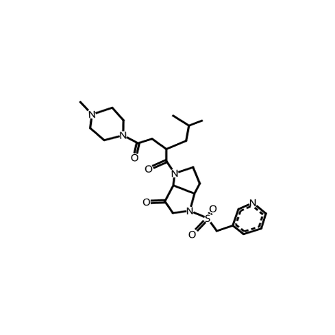 CC(C)CC(CC(=O)N1CCN(C)CC1)C(=O)N1CCC2C1C(=O)CN2S(=O)(=O)Cc1cccnc1